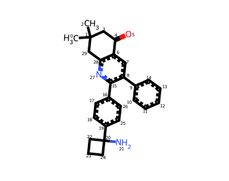 CC1(C)CC(=O)c2cc(-c3ccccc3)c(-c3ccc(C4(N)CCC4)cc3)nc2C1